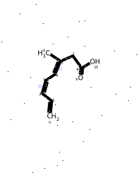 C=C/C=C\C=C(/C)CC(=O)O